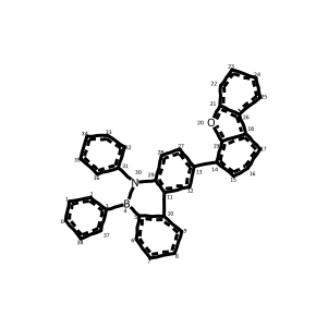 c1ccc(B2c3ccccc3-c3cc(-c4cccc5c4oc4ccccc45)ccc3N2c2ccccc2)cc1